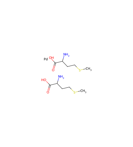 CSCCC(N)C(=O)O.CSCCC(N)C(=O)O.[Pd]